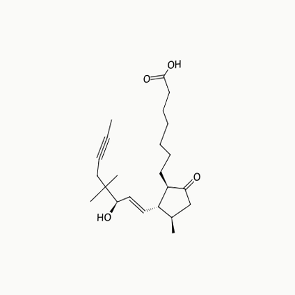 CC#CCC(C)(C)[C@H](O)/C=C/[C@H]1[C@H](C)CC(=O)[C@@H]1CCCCCCC(=O)O